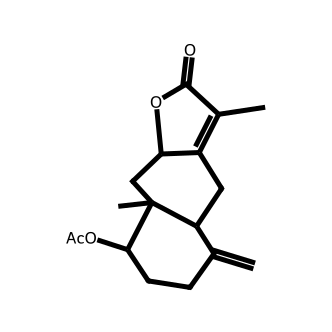 C=C1CCC(OC(C)=O)C2(C)CC3OC(=O)C(C)=C3CC12